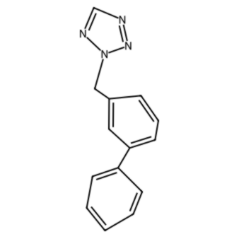 c1ccc(-c2cccc(Cn3ncnn3)c2)cc1